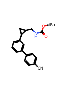 CC(C)(C)OC(=O)NCC1CC1c1cccc(-c2ccc(C#N)cc2)c1